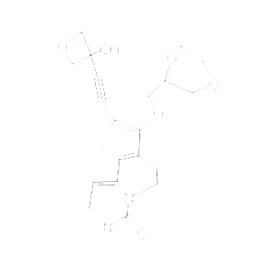 CC1(C#Cc2sc3c(c2OCC2COCCO2)CCn2c-3ccnc2=O)COC1